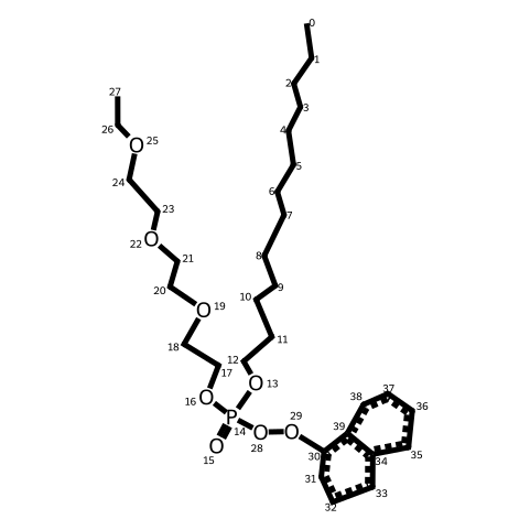 CCCCCCCCCCCCCOP(=O)(OCCOCCOCCOCC)OOc1cccc2ccccc12